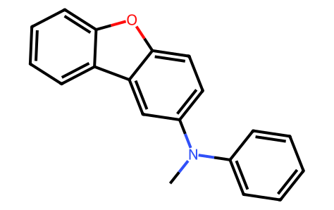 CN(c1ccccc1)c1ccc2oc3ccccc3c2c1